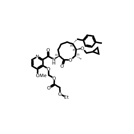 CCOCC(=O)OCOc1c(OC)ccnc1C(=O)N[C@H]1CCC[C@H](Cc2ccc(C)cc2)[C@@H](OCC2CC2)[C@H](C)OC1=O